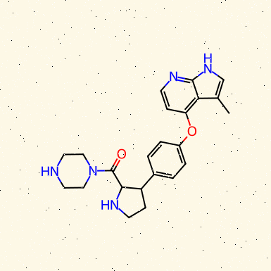 Cc1c[nH]c2nccc(Oc3ccc(C4CCNC4C(=O)N4CCNCC4)cc3)c12